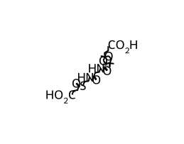 CC1(CCCC(=O)O)OCC(C)(C)[C@H](C(=O)NCCC(=O)NCCSC(=O)CCC(=O)O)O1